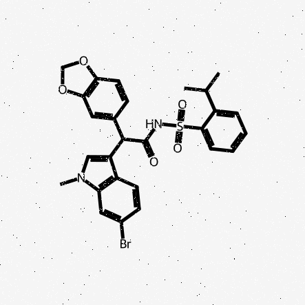 CC(C)c1ccccc1S(=O)(=O)NC(=O)C(c1ccc2c(c1)OCO2)c1cn(C)c2cc(Br)ccc12